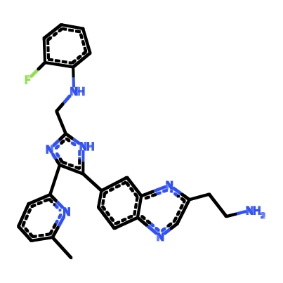 Cc1cccc(-c2nc(CNc3ccccc3F)[nH]c2-c2ccc3ncc(CCN)nc3c2)n1